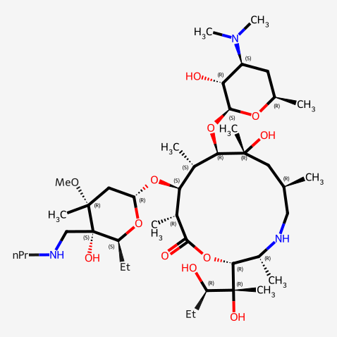 CCCNC[C@]1(O)[C@H](CC)O[C@@H](O[C@H]2[C@H](C)[C@@H](O[C@@H]3O[C@H](C)C[C@H](N(C)C)[C@H]3O)[C@](C)(O)C[C@@H](C)CN[C@H](C)[C@H]([C@](C)(O)[C@H](O)CC)OC(=O)[C@@H]2C)C[C@@]1(C)OC